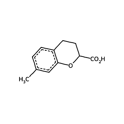 Cc1ccc2c(c1)OC(C(=O)O)CC2